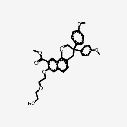 COC(=O)c1cc2c3c(ccc2cc1OCCOCCO)CC(c1ccc(OC)cc1)(c1ccc(OC)cc1)CO3